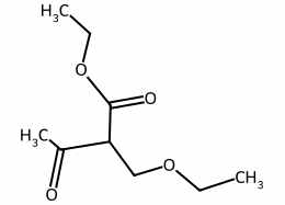 CCOCC(C(C)=O)C(=O)OCC